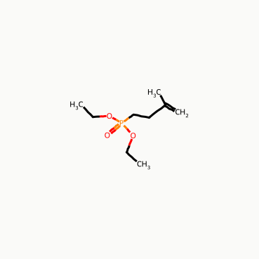 C=C(C)CCP(=O)(OCC)OCC